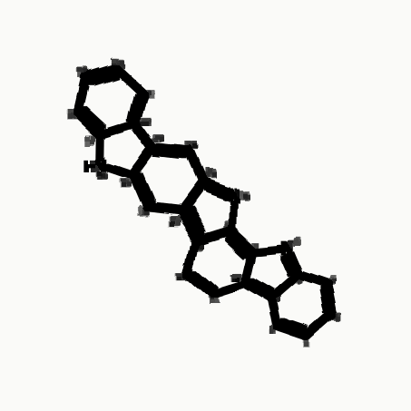 c1ccc2c(c1)=Nc1c3c(ccc1=2)=c1cc2[nH]c4ccccc4c2cc1=N3